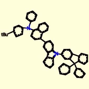 CC(C)(C)c1ccc(N(c2ccccc2)c2ccc(-c3ccc4c(c3)c3ccccc3n4-c3ccc4c(c3)C(c3ccccc3)(c3ccccc3)c3ccccc3-4)c3ccccc23)cc1